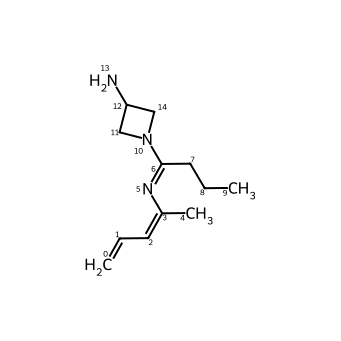 C=C/C=C(C)\N=C(/CCC)N1CC(N)C1